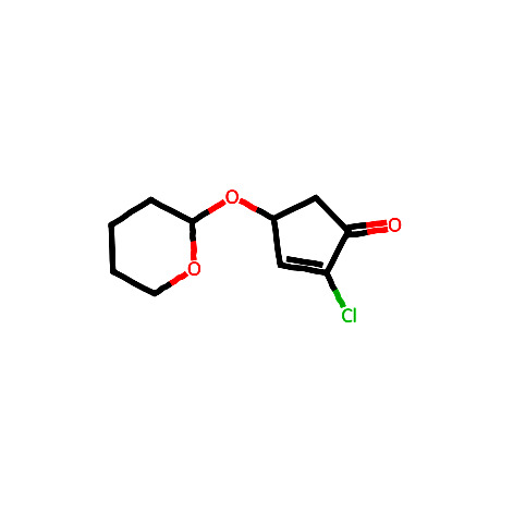 O=C1CC(OC2CCCCO2)C=C1Cl